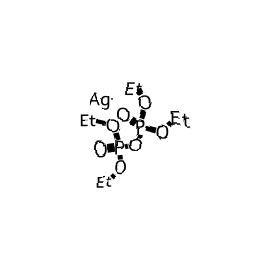 CCOP(=O)(OCC)OP(=O)(OCC)OCC.[Ag]